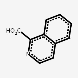 O=C(O)c1nccc2[c]cccc12